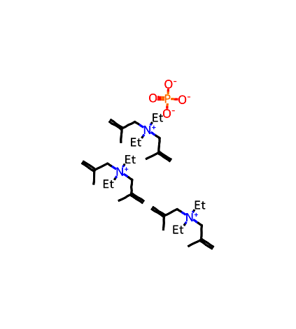 C=C(C)C[N+](CC)(CC)CC(=C)C.C=C(C)C[N+](CC)(CC)CC(=C)C.C=C(C)C[N+](CC)(CC)CC(=C)C.O=P([O-])([O-])[O-]